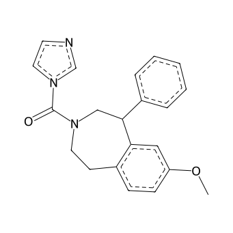 COc1ccc2c(c1)C(c1ccccc1)CN(C(=O)n1ccnc1)CC2